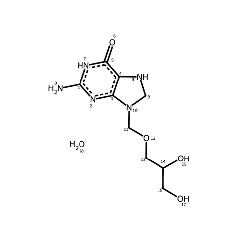 Nc1nc2c(c(=O)[nH]1)NCN2COCC(O)CO.O